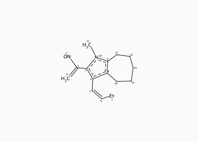 C=C(N=O)c1c(/C=C\CC)c2c(n1C)CCCCC2